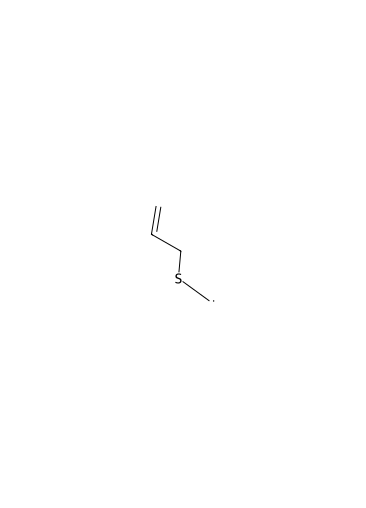 [CH2]SCC=C